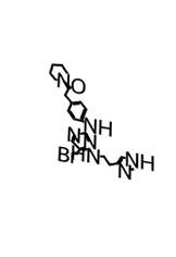 O=C(Cc1ccc(Nc2ncc(Br)c(NCCc3c[nH]cn3)n2)cc1)N1CCCCC1